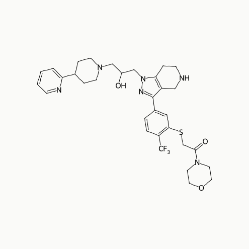 O=C(CSc1cc(-c2nn(CC(O)CN3CCC(c4ccccn4)CC3)c3c2CNCC3)ccc1C(F)(F)F)N1CCOCC1